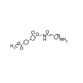 COC(=O)c1ccc(-c2ccc(OCCNC(=O)/C=C/c3ccc(N)nc3)c(Cl)c2)cc1